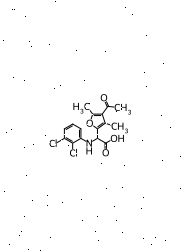 CC(=O)c1c(C)oc(C(Nc2cccc(Cl)c2Cl)C(=O)O)c1C